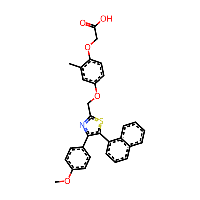 COc1ccc(-c2nc(COc3ccc(OCC(=O)O)c(C)c3)sc2-c2cccc3ccccc23)cc1